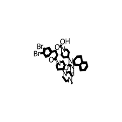 CN1CCN(C2CCN(C(=O)C(Cc3ccc(Br)c(Br)c3)[C@H]3CC(n4c(=O)[nH]c5c6ccccc6ccc54)CCN3C(=O)O)CC2)CC1